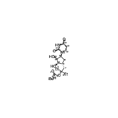 CCC(C)[PH](=O)OC(CC)(CC)C[C@H]1C[C@H](n2ccc(=O)[nH]c2=O)[C@H](O)[C@@H]1O